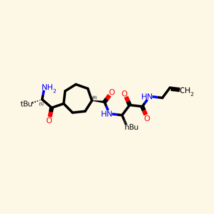 C=CCNC(=O)C(=O)C(CCCC)NC(=O)[C@@H]1CCCC(C(=O)[C@@H](N)C(C)(C)C)CC1